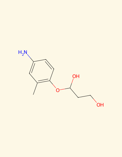 Cc1cc(N)ccc1OC(O)CCO